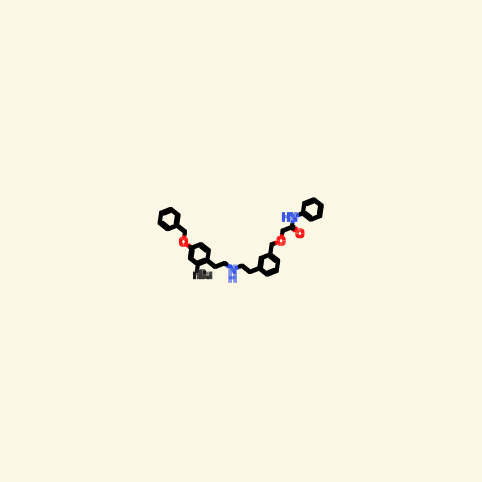 CCCCc1cc(OCc2ccccc2)ccc1CCNCCc1cccc(COCC(=O)Nc2ccccc2)c1